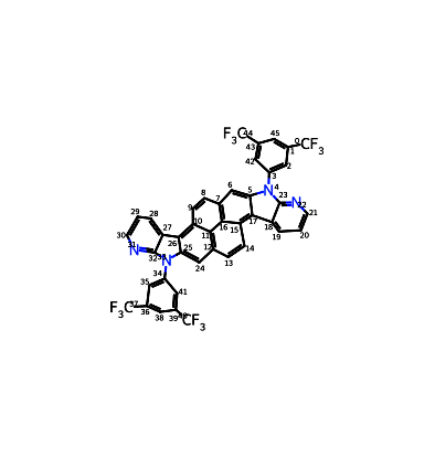 FC(F)(F)c1cc(-n2c3cc4ccc5c6c(ccc(c46)c3c3cccnc32)cc2c5c3cccnc3n2-c2cc(C(F)(F)F)cc(C(F)(F)F)c2)cc(C(F)(F)F)c1